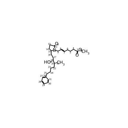 COC(=O)CCCC=CCN1C(=O)CCC1CC[C@@H](O)[C@@H](C)CCCCc1ccccc1